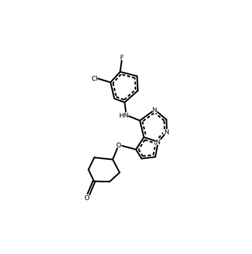 O=C1CCC(Oc2ccn3ncnc(Nc4ccc(F)c(Cl)c4)c23)CC1